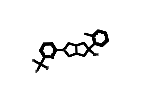 Cc1ccccc1C1(O)CC2CN(c3cccc(C(F)(F)F)n3)CC2C1